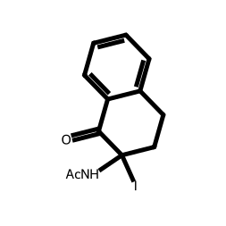 CC(=O)NC1(I)CCc2ccccc2C1=O